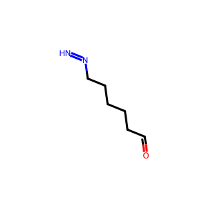 N=NCCCCCC=O